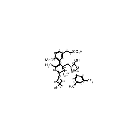 COc1ccc(CCC(=O)O)cc1-c1c(C)nc(N2CC(F)(F)C2)nc1CN1C(O)O[C@H](c2cc(C(F)(F)F)cc(C(F)(F)F)c2)[C@@H]1C